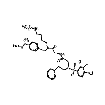 Cc1c(Cl)ccc(S(=O)(=O)N(CCc2ccccc2)CC(=O)NCC(=O)N(CCCCNC(=O)O)Cc2ccc(C(N)=NO)cc2)c1Cl